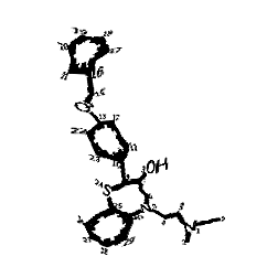 CN(C)CCN1CC(O)C(c2ccc(OCc3ccccc3)cc2)Sc2ccccc21